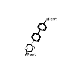 CCCCCc1ccc(-c2ccc([C@H]3CO[C@H](CCCCC)CO3)cc2)cc1